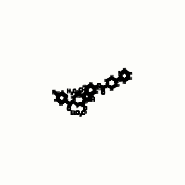 CCOC(=O)OC1=CN(C(=O)c2ccc(F)cc2)CC(C)(C)c2c1[nH]c1cc(OC(=O)N3CCN(c4ccccn4)CC3)ccc21